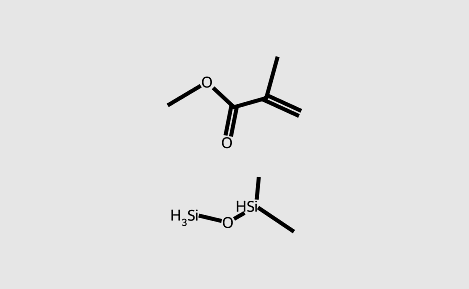 C=C(C)C(=O)OC.C[SiH](C)O[SiH3]